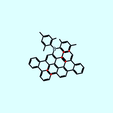 Cc1cc(C)c(B(c2c(C)cc(C)cc2C)c2cc(-c3ccccc3-c3ccccc3)c3ccc4ccc(-c5ccccc5-c5ccccc5)c5ccc2c3c45)c(C)c1